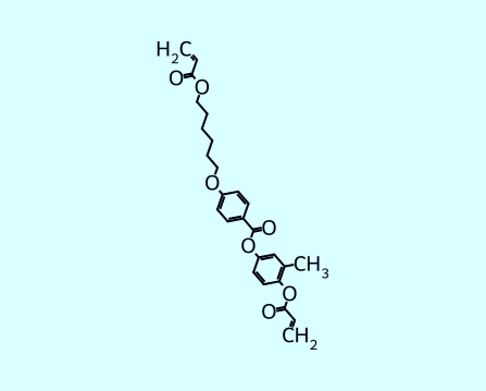 C=CC(=O)OCCCCCCOc1ccc(C(=O)Oc2ccc(OC(=O)C=C)c(C)c2)cc1